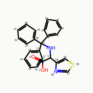 O=C(O)C(NC(c1ccccc1)(c1ccccc1)c1ccccc1)c1cscn1